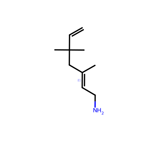 C=CC(C)(C)C/C(C)=C/CN